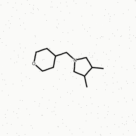 CC1CN(CC2CCOCC2)CC1C